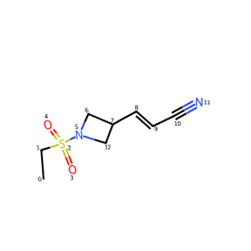 CCS(=O)(=O)N1CC(C=CC#N)C1